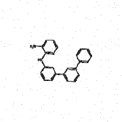 Nc1cccnc1Nc1cccc(-c2cccc(-c3ccccc3)c2)c1